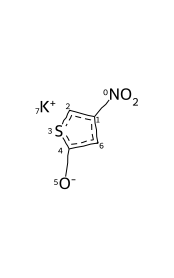 O=[N+]([O-])c1csc([O-])c1.[K+]